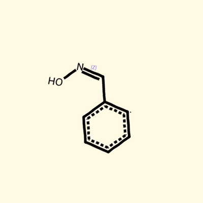 O/N=C\c1[c]cccc1